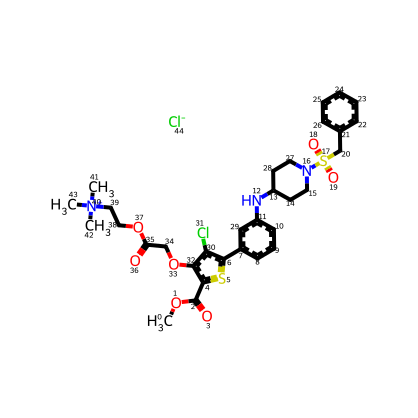 COC(=O)c1sc(-c2cccc(NC3CCN(S(=O)(=O)Cc4ccccc4)CC3)c2)c(Cl)c1OCC(=O)OCC[N+](C)(C)C.[Cl-]